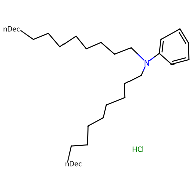 CCCCCCCCCCCCCCCCCCN(CCCCCCCCCCCCCCCCCC)c1ccccc1.Cl